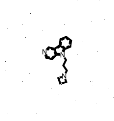 c1ccc2c(c1)c1cnccc1n2CCCN1CCC1